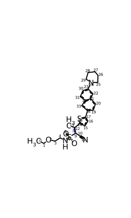 CCOCCNS(=O)(=O)/C(C#N)=C(\C)c1ccc(-c2ccc3cc(N4CCCCC4)ccc3c2)s1